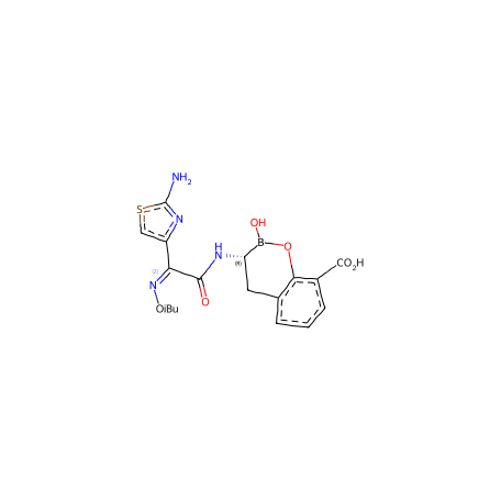 CC(C)CO/N=C(\C(=O)N[C@H]1Cc2cccc(C(=O)O)c2OB1O)c1csc(N)n1